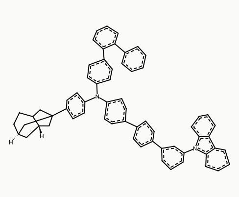 c1ccc(-c2ccccc2-c2ccc(N(c3ccc(-c4ccc(-c5cccc(-n6c7ccccc7c7ccccc76)c5)cc4)cc3)c3ccc(C45CC6CC[C@H](C[C@H]6C4)C5)cc3)cc2)cc1